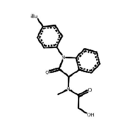 CCC(C)c1ccc(N2C(=O)C(N(C)C(=O)CO)c3ccccc32)cc1